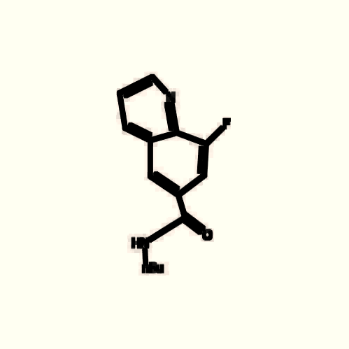 CCCCNC(=O)c1cc(F)c2ncccc2c1